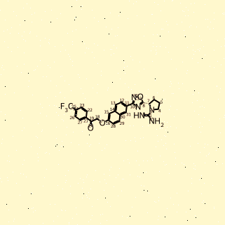 N=C(N)N1CCC[C@H]1c1nc(-c2ccc3cc(OCC(=O)c4ccc(C(F)(F)F)cc4)ccc3c2)no1